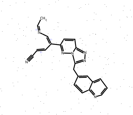 C\C=N/C=C(\C=C\C#N)c1ccc2nnc(Cc3ccc4ncccc4c3)n2n1